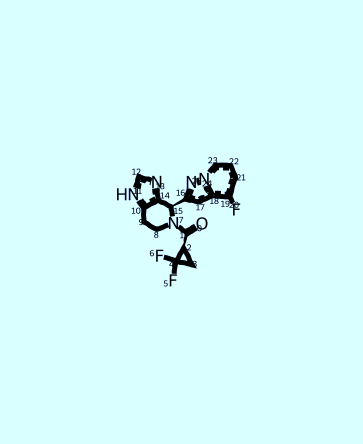 O=C([C@H]1CC1(F)F)N1CCc2[nH]cnc2[C@H]1c1cc2c(F)cccn2n1